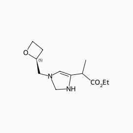 CCOC(=O)C(C)C1=CN(C[C@@H]2CCO2)CN1